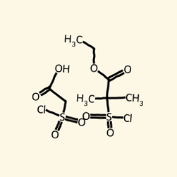 CCOC(=O)C(C)(C)S(=O)(=O)Cl.O=C(O)CS(=O)(=O)Cl